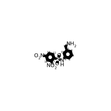 NCc1cccc(NS(=O)(=O)c2ccc([N+](=O)[O-])cc2[N+](=O)[O-])c1